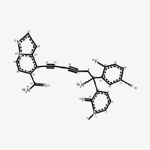 Cn1cccc(C(N)(CC#CC#Cc2c(C(N)=O)ccn3nccc23)c2cc(F)ccc2F)c1=O